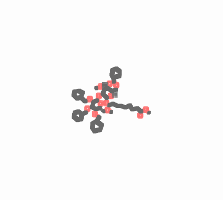 COC[C@H]1O[C@H](O[C@H]2[C@@H](OCCCCCCCCC(=O)OC)O[C@@H]3COC(c4ccccc4)O[C@H]3[C@@H]2OC)[C@H](OCc2ccccc2)[C@@H](OCc2ccccc2)[C@@H]1OCc1ccccc1